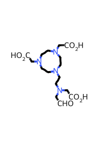 O=CCN(CCN1CCN(CC(=O)O)CCN(CC(=O)O)CC1)CC(=O)O